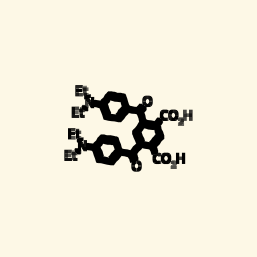 CCN(CC)c1ccc(C(=O)c2cc(C(=O)c3ccc(N(CC)CC)cc3)c(C(=O)O)cc2C(=O)O)cc1